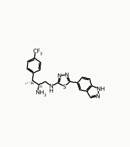 C[C@H](c1ccc(C(F)(F)F)cc1)[C@H](N)CNc1nnc(-c2ccc3[nH]ncc3c2)s1